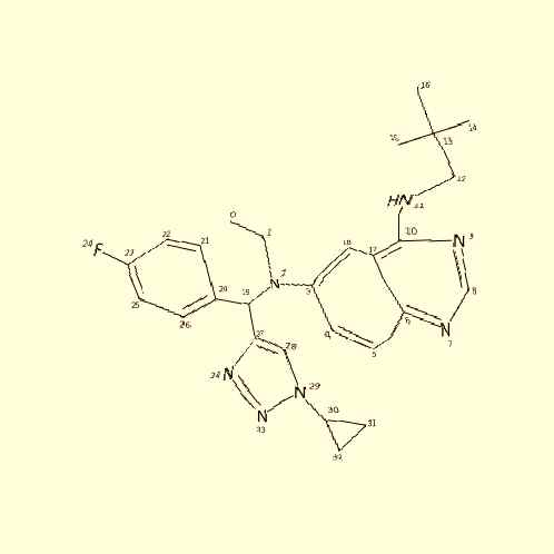 CCN(c1ccc2ncnc(NCC(C)(C)C)c2c1)C(c1ccc(F)cc1)c1cn(C2CC2)nn1